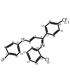 Fc1ccc(SC=CC(=Nc2ccccc2Cl)c2ccc(C(F)(F)F)cc2)cc1